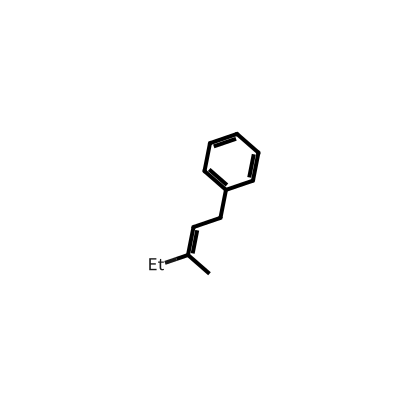 CCC(C)=CCc1ccccc1